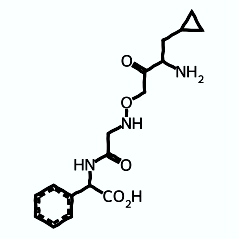 NC(CC1CC1)C(=O)CONCC(=O)NC(C(=O)O)c1ccccc1